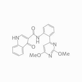 COc1cc(-c2ccccc2NC(=O)c2c[nH]c3ccccc3c2=O)nc(OC)n1